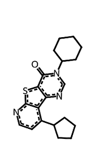 O=c1c2sc3nccc(C4CCCC4)c3c2ncn1C1CCCCC1